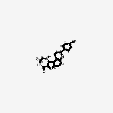 CC(C)c1ccc(-c2ccc3c(ccc4sc5c(c43)N(C)C[C@@H](C)NC5=O)n2)cc1